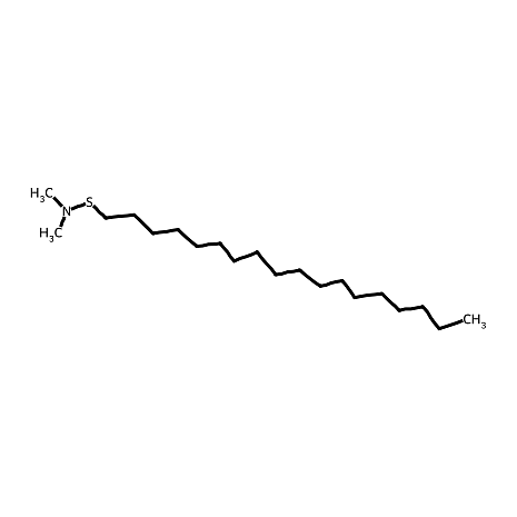 CCCCCCCCCCCCCCCCCCSN(C)C